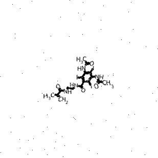 C=C(C)C(=O)NCCNC(=O)c1c(I)c(NC(C)=O)c(I)c(NC(C)=O)c1I